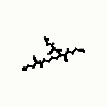 NCCNC(=O)C(CCCCNC(=O)CCO)NC(=O)CCO